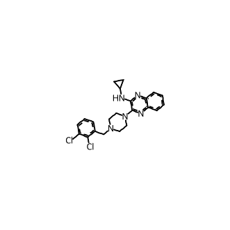 Clc1cccc(CN2CCN(c3nc4ccccc4nc3NC3CC3)CC2)c1Cl